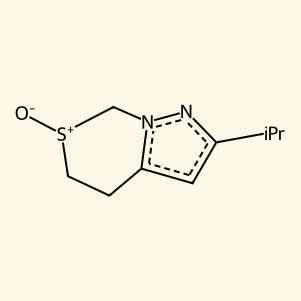 CC(C)c1cc2n(n1)C[S+]([O-])CC2